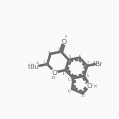 CC(C)(C)C1CC(=O)c2cc(Br)c3occc3c2O1